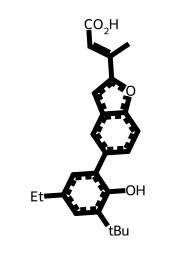 CCc1cc(-c2ccc3oc(C(C)=CC(=O)O)cc3c2)c(O)c(C(C)(C)C)c1